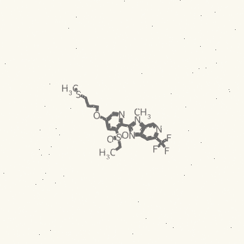 CCS(=O)(=O)c1cc(OCCCSC)cnc1-c1nc2cc(C(F)(F)F)ncc2n1C